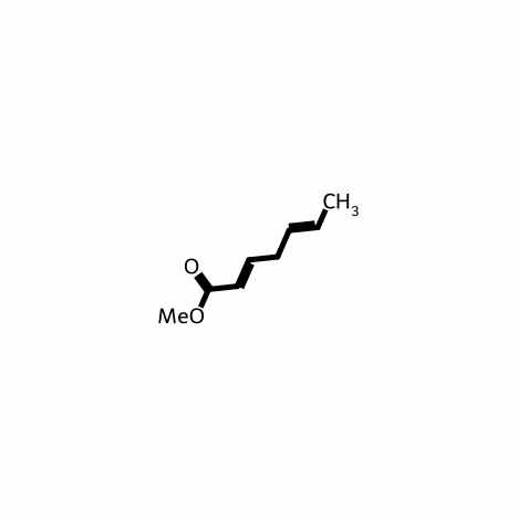 CC=CCC=CC(=O)OC